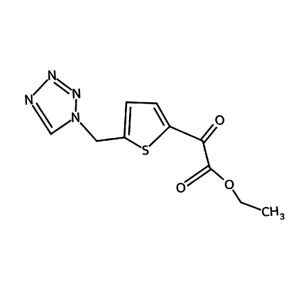 CCOC(=O)C(=O)c1ccc(Cn2cnnn2)s1